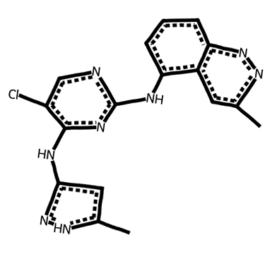 Cc1cc2c(Nc3ncc(Cl)c(Nc4cc(C)[nH]n4)n3)cccc2nn1